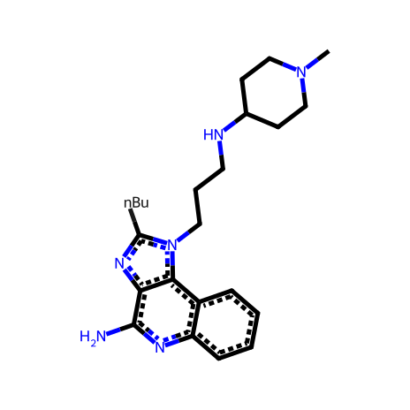 CCCCc1nc2c(N)nc3ccccc3c2n1CCCNC1CCN(C)CC1